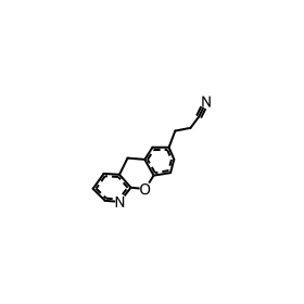 N#CCCc1ccc2c(c1)Cc1cccnc1O2